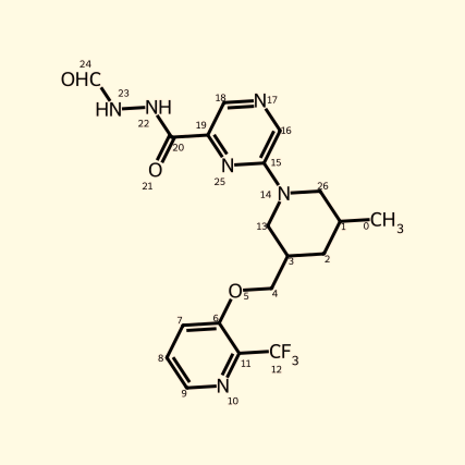 CC1CC(COc2cccnc2C(F)(F)F)CN(c2cncc(C(=O)NNC=O)n2)C1